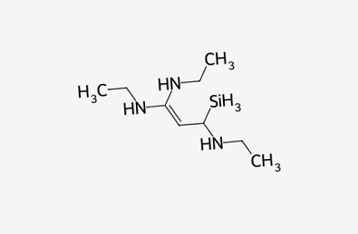 CCNC(=CC([SiH3])NCC)NCC